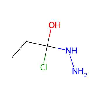 CCC(O)(Cl)NN